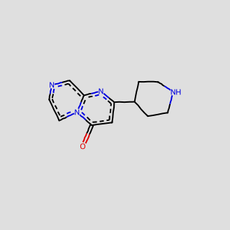 O=c1cc(C2CCNCC2)nc2cnccn12